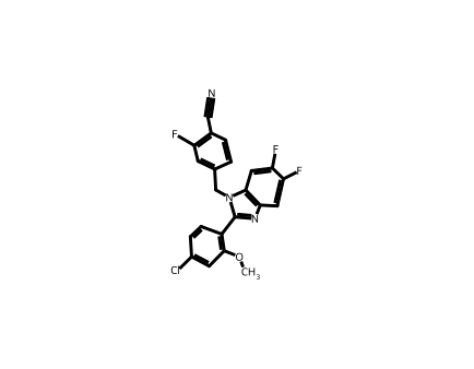 COc1cc(Cl)ccc1-c1nc2cc(F)c(F)cc2n1Cc1ccc(C#N)c(F)c1